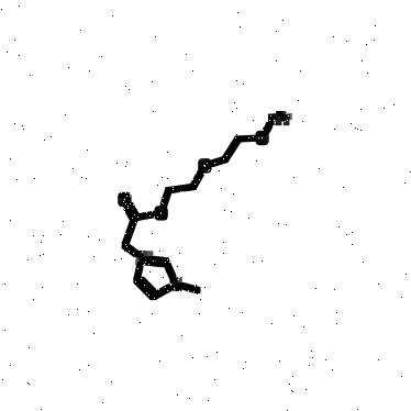 CCCOCCOCCOC(=O)C[n+]1ccn(C)c1